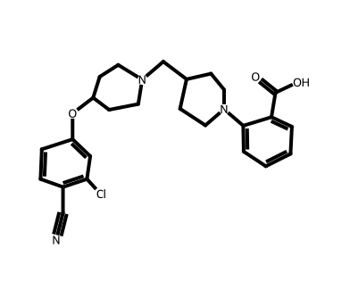 N#Cc1ccc(OC2CCN(CC3CCN(c4ccccc4C(=O)O)CC3)CC2)cc1Cl